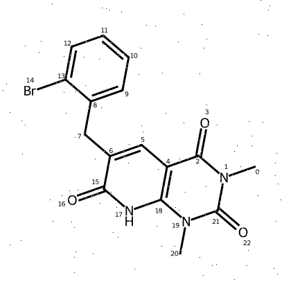 Cn1c(=O)c2cc(Cc3ccccc3Br)c(=O)[nH]c2n(C)c1=O